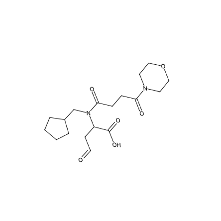 O=CCC(C(=O)O)N(CC1CCCC1)C(=O)CCC(=O)N1CCOCC1